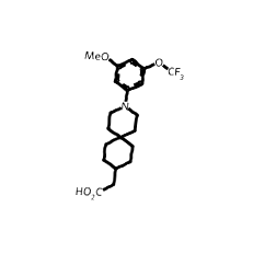 COc1cc(OC(F)(F)F)cc(N2CCC3(CCC(CC(=O)O)CC3)CC2)c1